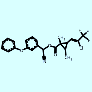 CC1C(C=C(Cl)C(F)(F)F)C1(C)C(=O)OC(C#N)c1cccc(Oc2ccccc2)c1